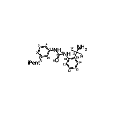 CCCC(C)c1cccc(NC(=O)Nc2ccccc2C(C)(C)N)c1